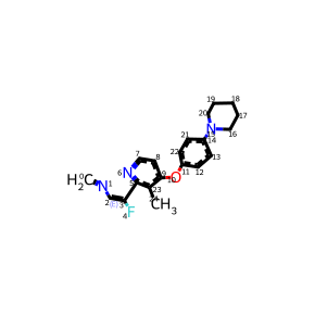 C=N/C=C(/F)c1nccc(Oc2ccc(N3CCCCC3)cc2)c1C